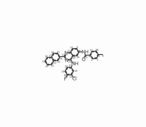 Cc1ccc(C(=O)Nc2ccc3nc(-c4ccc5ccccc5c4)nc(Nc4ccc(F)c(Cl)c4)c3c2)cc1